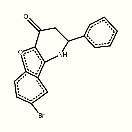 O=C1CC(c2ccccc2)Nc2c1oc1ccc(Br)cc21